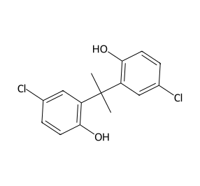 CC(C)(c1cc(Cl)ccc1O)c1cc(Cl)ccc1O